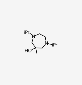 CC(C)N1CCN(C(C)C)CC(C)(O)C1